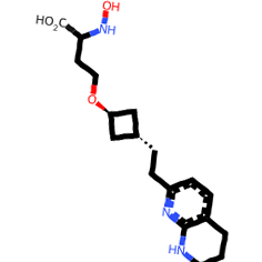 O=C(O)C(CCO[C@H]1C[C@H](CCc2ccc3c(n2)NCCC3)C1)NO